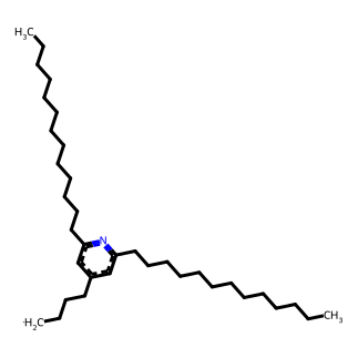 [CH2]CCCc1cc(CCCCCCCCCCCCC)nc(CCCCCCCCCCCCC)c1